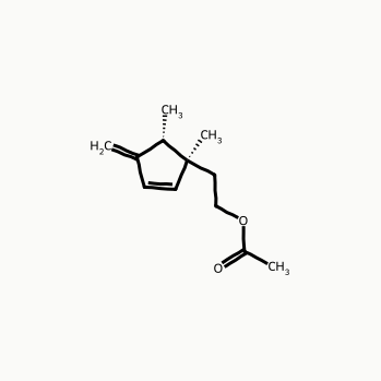 C=C1C=C[C@](C)(CCOC(C)=O)[C@H]1C